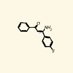 N/C(=C\C(=O)c1ccccc1)c1ccc(F)cc1